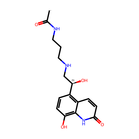 [CH2]C(=O)NCCCNC[C@@H](O)c1ccc(O)c2[nH]c(=O)ccc12